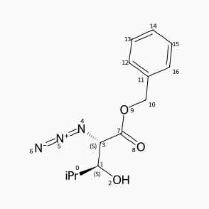 CC(C)[C@H](O)[C@H](N=[N+]=[N-])C(=O)OCc1ccccc1